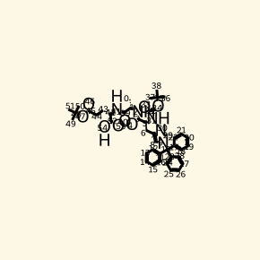 C[C@H](NC(=O)[C@H](Cc1cn(C(c2ccccc2)(c2ccccc2)c2ccccc2)cn1)NC(=O)OC(C)(C)C)C(=O)N[C@@H](CCC(=O)OC(C)(C)C)C(=O)O